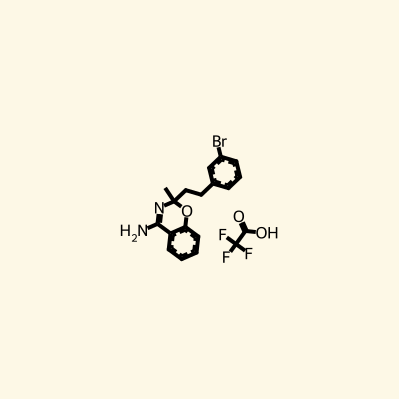 CC1(CCc2cccc(Br)c2)N=C(N)c2ccccc2O1.O=C(O)C(F)(F)F